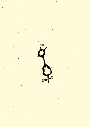 Cc1cc(-c2ccc(S(C)(=O)=O)cc2)ccc1O